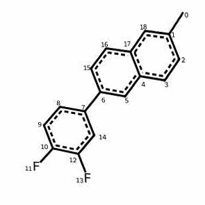 Cc1ccc2cc(-c3ccc(F)c(F)c3)ccc2c1